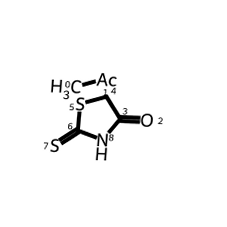 CC(C)=O.O=C1CSC(=S)N1